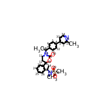 Cc1cc(-c2ccc([C@H](C)N3CC[C@](CCN(C)S(C)(=O)=O)(c4ccccc4)OC3=O)cc2)ccn1